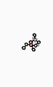 c1ccc(-c2cccc(-c3ccc(-c4ccc5oc6cccc(-c7nc(-c8ccccc8)nc(-c8ccccc8)n7)c6c5c4)c(-c4ccccc4)c3)c2)cc1